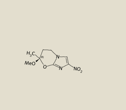 CO[C@@]1(C)CCn2cc([N+](=O)[O-])nc2O1